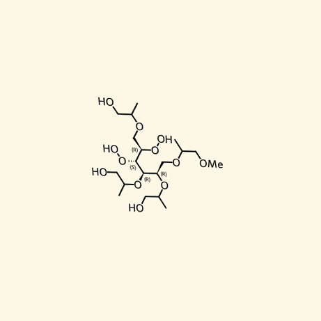 COCC(C)OC[C@@H](OC(C)CO)[C@@H](OC(C)CO)[C@H](OO)[C@@H](COC(C)CO)OO